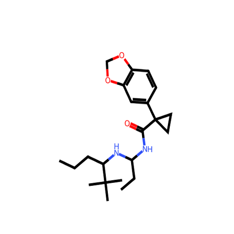 CCCC(NC(CC)NC(=O)C1(c2ccc3c(c2)OCO3)CC1)C(C)(C)C